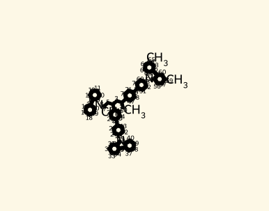 CCC(CC(CC(C)n1c2ccccc2c2ccccc21)c1ccc(-c2ccc(-n3c4ccccc4c4ccccc43)cc2)cc1)c1ccc(-c2ccc(-n3c4ccc(C)cc4c4cc(C)ccc43)cc2)cc1